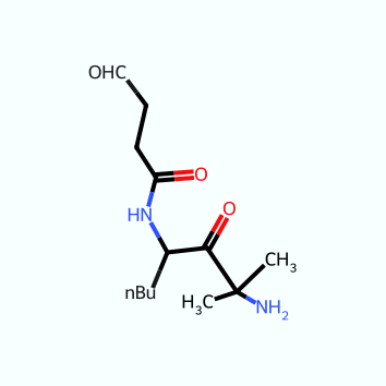 CCCCC(NC(=O)CCC=O)C(=O)C(C)(C)N